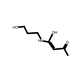 CC(=O)/C=C(\O)NCCCO